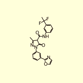 CC1=NN(c2cccc(-c3ncco3)c2)C(=O)C1C(=O)Nc1cccc(C(C)(F)F)c1